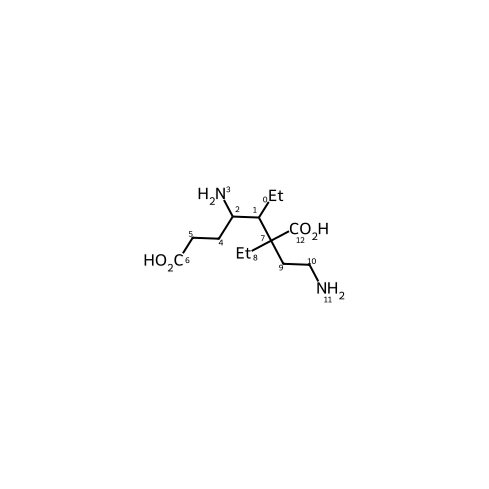 CCC(C(N)CCC(=O)O)C(CC)(CCN)C(=O)O